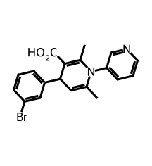 CC1=CC(c2cccc(Br)c2)C(C(=O)O)=C(C)N1c1cccnc1